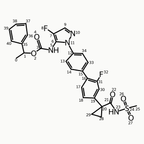 CC(OC(=O)Nc1c(F)cnn1-c1ccc(-c2ccc(C3(C(=O)NS(C)(=O)=O)CC3)cc2F)cc1)c1ccccc1